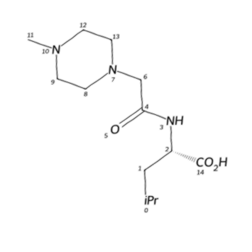 CC(C)C[C@H](NC(=O)CN1CCN(C)CC1)C(=O)O